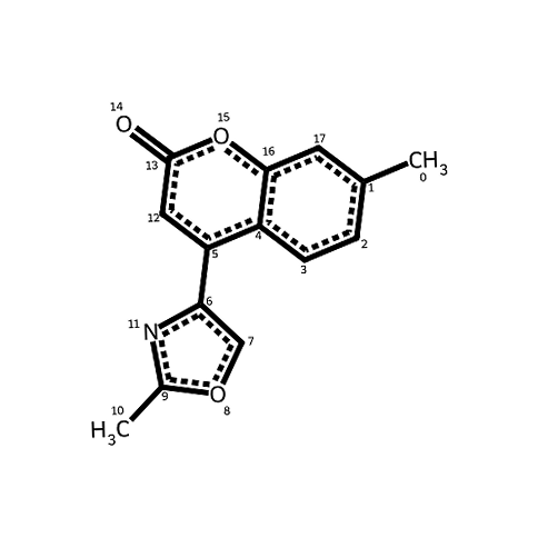 Cc1ccc2c(-c3coc(C)n3)cc(=O)oc2c1